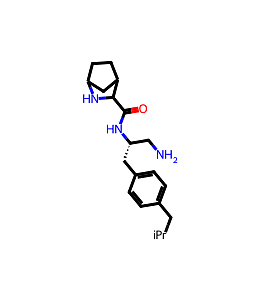 CC(C)Cc1ccc(C[C@@H](CN)NC(=O)C2NC3CCC2C3)cc1